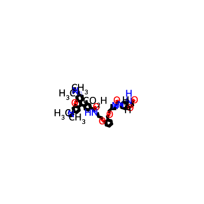 CN(C)/C=c1/ccc2c(c1)Oc1cc(N(C)C)ccc1C=2c1ccc(C(=O)NCCCOc2ccccc2COCC2CN(C(=O)N3CC[C@@H]4OCC(=O)N[C@@H]4C3)C2)cc1C(=O)O